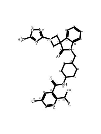 Cc1nc(N2CC3(C2)C(=O)N(CC2CCC(NC(=O)c4cc(Cl)cnc4C(F)F)CC2)c2ccccc23)no1